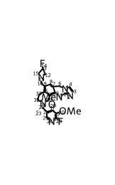 CNc1nccn1Cc1cc(CN2CC(F)C2)c2c(c1)C(=O)N([C@@H](C)c1cnc(F)c(OC)c1)CC2